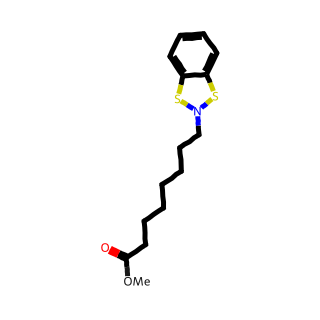 COC(=O)CCCCCCCN1Sc2ccccc2S1